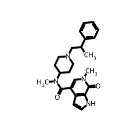 CC(CN1CCC(N(C)C(=O)c2cn(C)c(=O)c3[nH]ccc23)CC1)c1ccccc1